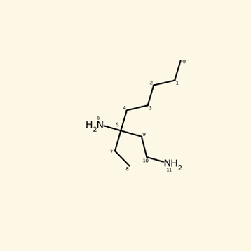 CCCCCC(N)(CC)CCN